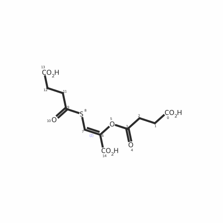 O=C(O)CCC(=O)O/C(=C\SC(=O)CCC(=O)O)C(=O)O